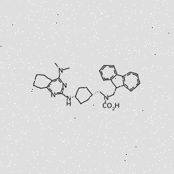 CN(C)c1nc(N[C@H]2CC[C@@H](CN(CC3c4ccccc4-c4ccccc43)C(=O)O)CC2)nc2c1CCCC2